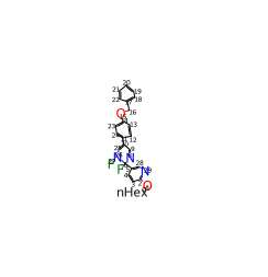 CCCCCCOc1ccc(C2(F)N=CC(c3ccc(OCc4ccccc4)cc3)=CN2F)cn1